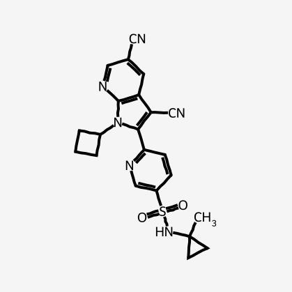 CC1(NS(=O)(=O)c2ccc(-c3c(C#N)c4cc(C#N)cnc4n3C3CCC3)nc2)CC1